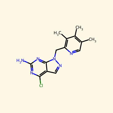 Cc1cnc(Cn2ncc3c(Cl)nc(N)nc32)c(C)c1C